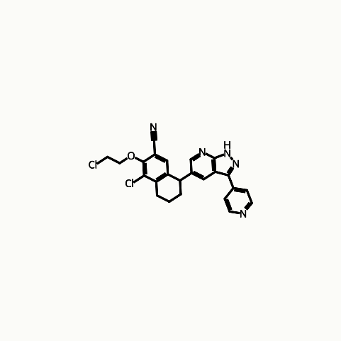 N#Cc1cc2c(c(Cl)c1OCCCl)CCCC2c1cnc2[nH]nc(-c3ccncc3)c2c1